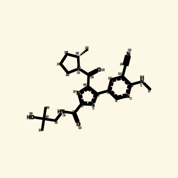 CNc1ncc(-c2sc(C(=O)NCC(C)(C)O)nc2C(=O)N2CCC[C@@H]2C)cc1C#N